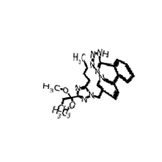 CCCCc1nc(C(CC)(OC)OC)nn1Cc1ccc(-c2ccccc2-c2nnn[nH]2)nc1